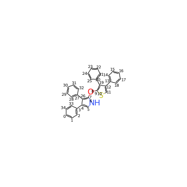 c1ccc(-c2c[nH]c(Oc3scc(-c4ccccc4)c3-c3ccccc3)c2-c2ccccc2)cc1